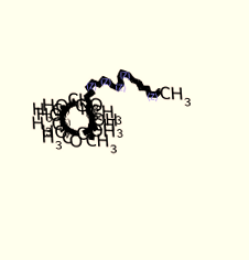 CC/C=C\CC=CC/C=C\C/C=C\C/C=C\C/C=C\CCC(=O)N1C[C@H](C)C[C@@](C)(O)[C@H](O)[C@@H](C)[C@H](O)[C@@H](C)C(=O)O[C@H](CC)[C@@](C)(O)[C@H](O)[C@H]1C